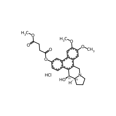 COC(=O)CCC(=O)Oc1ccc2c3c(c4cc(OC)c(OC)cc4c2c1)CN1CCC[C@H]1[C@H]3O.Cl